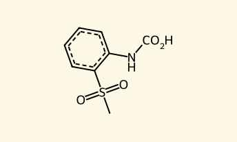 CS(=O)(=O)c1ccccc1NC(=O)O